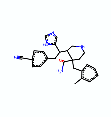 Cc1ccccc1CC1(C(N)=O)CCNCC1C(Cc1ccc(C#N)cc1)c1cnc[nH]1